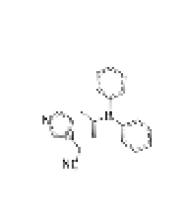 C=C(C)B(c1ccccc1)c1ccccc1.N#CCn1ccnc1